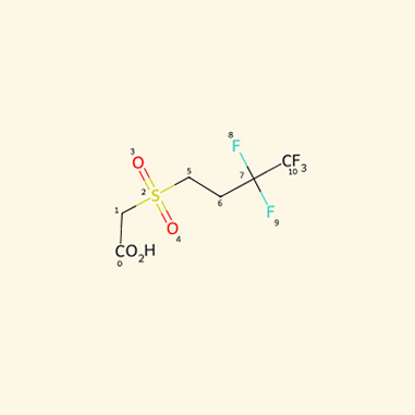 O=C(O)CS(=O)(=O)CCC(F)(F)C(F)(F)F